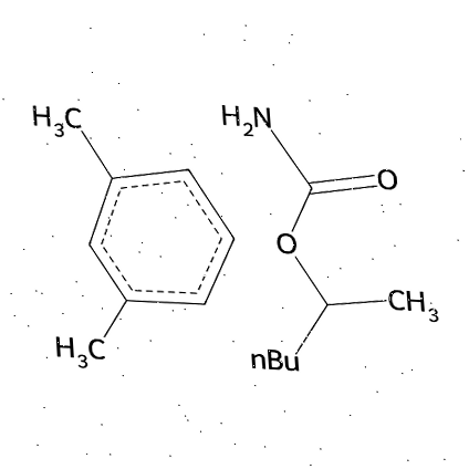 CCCCC(C)OC(N)=O.Cc1cccc(C)c1